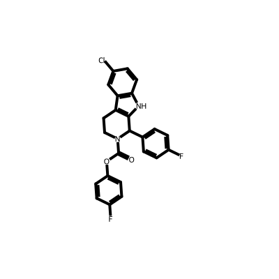 O=C(Oc1ccc(F)cc1)N1CCc2c([nH]c3ccc(Cl)cc23)C1c1ccc(F)cc1